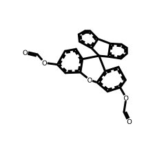 O=COc1ccc2c(c1)Oc1cc(OC=O)ccc1C21c2ccccc2-c2ccccc21